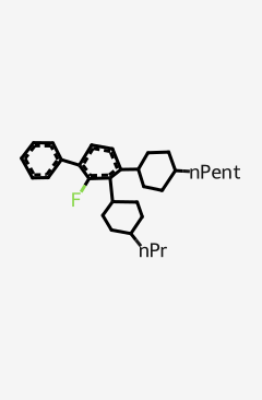 CCCCCC1CCC(c2ccc(-c3ccccc3)c(F)c2C2CCC(CCC)CC2)CC1